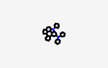 c1ccc(N(c2ccccc2)c2cc3c4c5c6c(cccc6ccc5n(-c5ccccc5)c4c2)-c2ccccc2-3)cc1